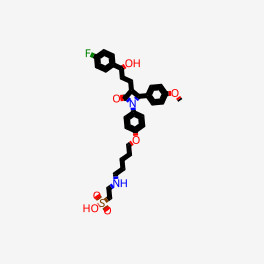 COc1ccc(C2C(CCC(O)c3ccc(F)cc3)C(=O)N2c2ccc(OCCCCCNCCS(=O)(=O)O)cc2)cc1